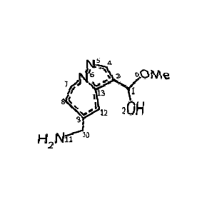 COC(O)c1cnn2ccc(CN)cc12